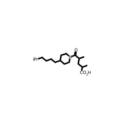 CC(C)CCCCC1CCN(C(=O)C(C)CC(C)C(=O)O)CC1